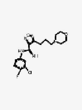 N=C(Nc1ccc(F)c(Cl)c1)c1nonc1CCCN1CCOCC1